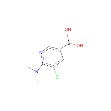 CN(C)c1ncc(B(O)O)cc1Cl